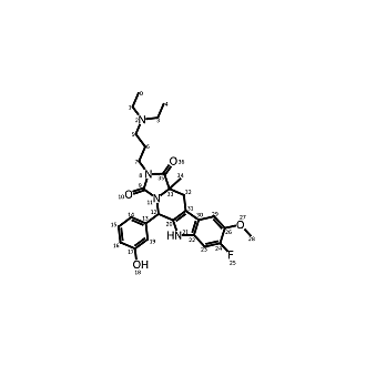 CCN(CC)CCCN1C(=O)N2C(c3cccc(O)c3)c3[nH]c4cc(F)c(OC)cc4c3CC2(C)C1=O